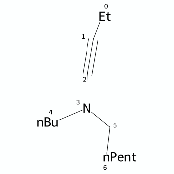 CCC#CN(CCCC)CCCCCC